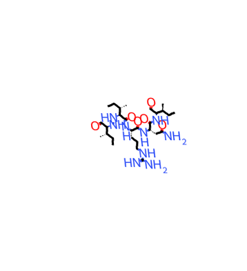 CC[C@H](C)[C@H](NN[C@H](C=O)[C@@H](C)CC)C(=O)N[C@@H](CCCNC(=N)N)C(=O)N[C@@H](CC(N)=O)C(=O)N[C@H](C=O)[C@@H](C)CC